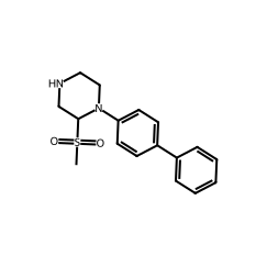 CS(=O)(=O)C1CNCCN1c1ccc(-c2ccccc2)cc1